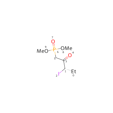 CC[C@H](I)C(=O)CP(=O)(OC)OC